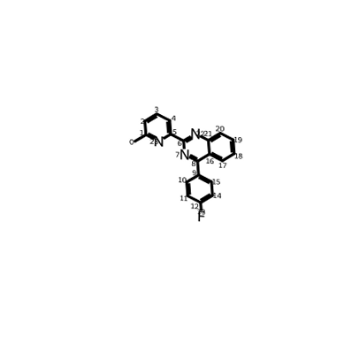 Cc1cccc(-c2nc(-c3ccc(F)cc3)c3ccccc3n2)n1